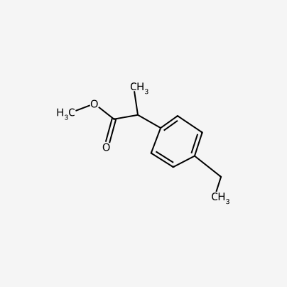 CCc1ccc(C(C)C(=O)OC)cc1